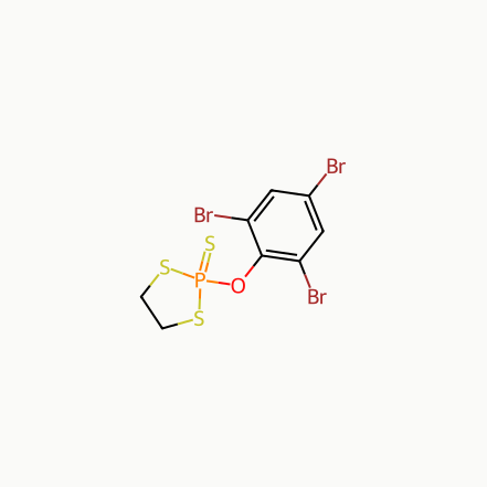 S=P1(Oc2c(Br)cc(Br)cc2Br)SCCS1